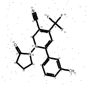 Cc1cccc(C2=CC(C(F)(F)F)=C(C#N)CN2N2CCCC2=O)c1